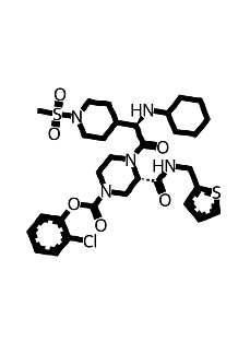 CS(=O)(=O)N1CCC([C@@H](NC2CCCCC2)C(=O)N2CCN(C(=O)Oc3ccccc3Cl)C[C@H]2C(=O)NCc2cccs2)CC1